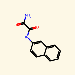 NC(=O)C(=O)Nc1ccc2ccccc2c1